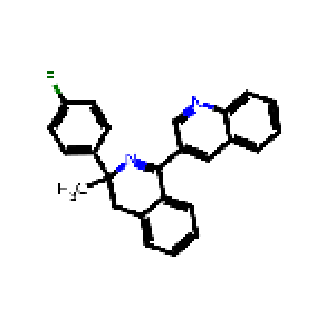 CC1(c2ccc(F)cc2)Cc2ccccc2C(c2cnc3ccccc3c2)=N1